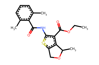 CCOC(=O)c1c(NC(=O)c2c(C)cccc2C)sc2c1C(C)OC2